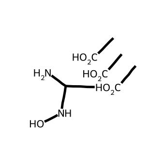 CC(=O)O.CC(=O)O.CC(=O)O.CC(N)NO